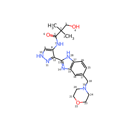 CC(C)(CO)C(=O)Nc1c[nH]nc1-c1nc2cc(CN3CCOCC3)ccc2[nH]1